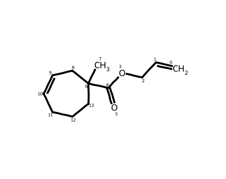 C=CCOC(=O)C1(C)CC=CCCC1